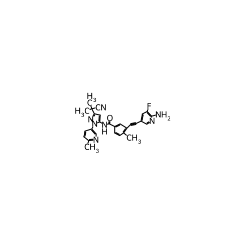 Cc1ccc(-n2nc(C(C)(C)C#N)cc2NC(=O)c2ccc(C)c(C#Cc3cnc(N)c(F)c3)c2)cn1